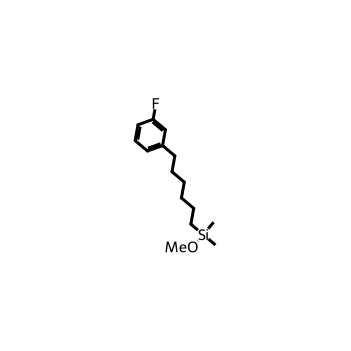 CO[Si](C)(C)CCCCCCc1cccc(F)c1